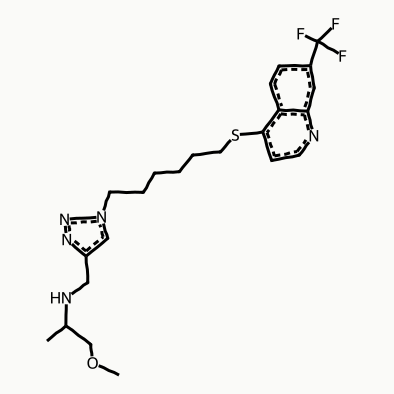 COCC(C)NCc1cn(CCCCCCSc2ccnc3cc(C(F)(F)F)ccc23)nn1